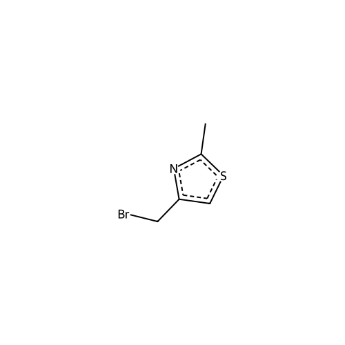 Cc1nc(CBr)cs1